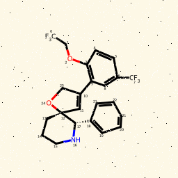 FC(F)(F)COc1ccc(C(F)(F)F)cc1C1=C[C@@]2(CCCN[C@H]2c2ccccc2)OC1